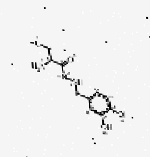 NC(CO)C(=O)NNCc1ccc(O)c(O)c1